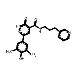 Cc1cc(-c2cc(C(=O)NCCCc3cccnc3)c(=O)[nH]n2)cc(C)c1O